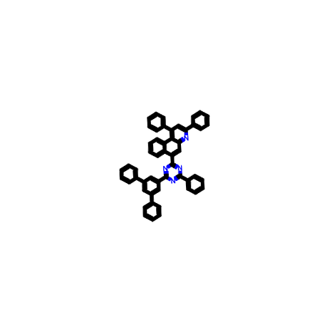 c1ccc(-c2cc(-c3ccccc3)cc(-c3nc(-c4ccccc4)nc(-c4cc5nc(-c6ccccc6)cc(-c6ccccc6)c5c5ccccc45)n3)c2)cc1